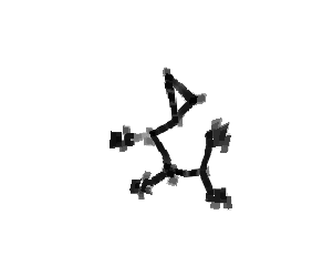 CC(C)N(C)[C@H](C)C1CC1